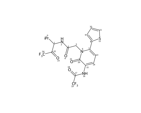 CC(C)C(NC(=O)Cn1c(-c2cccs2)ccc(NC(=O)C(F)(F)F)c1=O)C(=O)C(F)(F)F